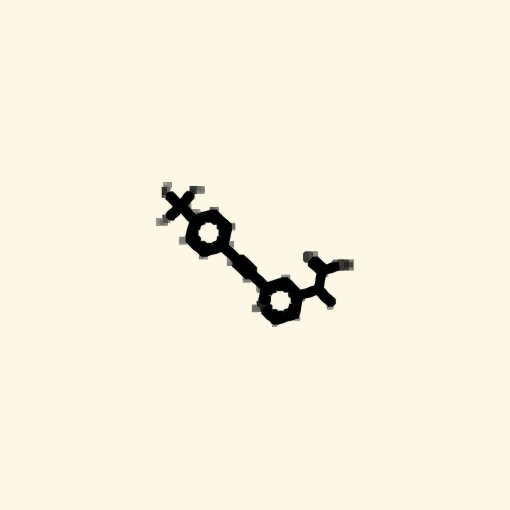 CC(C(=O)O)c1ccnc(C#Cc2ccc(C(F)(F)F)cc2)c1